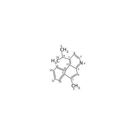 Cc1cc2nccc(C(C)C)c2c2ccccc12